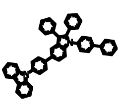 c1ccc(-c2ccc(-n3c(-c4ccccc4)c(-c4ccccc4)c4cc(-c5ccc(-n6c7ccccc7c7ccccc76)cc5)ccc43)cc2)cc1